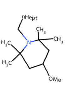 CCCCCCCCN1C(C)(C)CC(OC)CC1(C)C